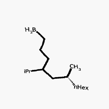 BCCCC(C[C@H](C)CCCCCC)C(C)C